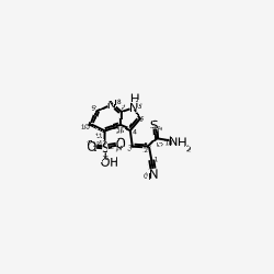 N#C/C(=C/c1c[nH]c2nccc(S(=O)(=O)O)c12)C(N)=S